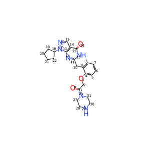 O=C(COc1ccccc1Cc1nc2c(cnn2C2CCCC2)c(=O)[nH]1)N1CCNCC1